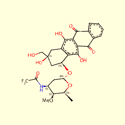 CO[C@H]1[C@@H](NC(=O)C(F)(F)F)C[C@H](O[C@H]2C[C@](O)(CO)Cc3c(O)c4c(c(O)c32)C(=O)c2ccccc2C4=O)O[C@H]1C